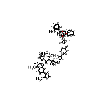 Cc1ncsc1-c1ccc([C@H](C)NC(=O)[C@@H]2C[C@@H](O)CN2C(=O)C(c2cc(O[C@H]3C[C@H](N4CCC(O[C@H]5C[C@H](Oc6cc(N7C8CCC7CN(c7cc(-c9ccccc9O)nnc7N)C8)ccn6)C5)CC4)C3)no2)C(C)C)cc1